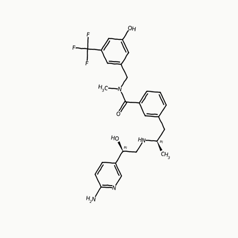 C[C@H](Cc1cccc(C(=O)N(C)Cc2cc(O)cc(C(F)(F)F)c2)c1)NC[C@H](O)c1ccc(N)nc1